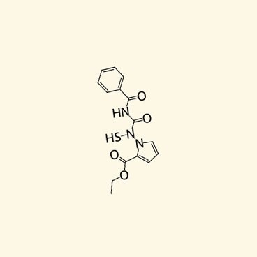 CCOC(=O)c1cccn1N(S)C(=O)NC(=O)c1ccccc1